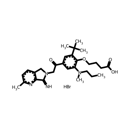 Br.CCCN(C)c1cc(C(=O)CN2Cc3ccc(C)nc3C2=N)cc(C(C)(C)C)c1OCCCC(=O)O